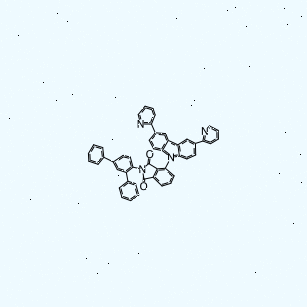 O=C1c2cccc(-n3c4ccc(-c5ccccn5)cc4c4cc(-c5ccccn5)ccc43)c2C(=O)N1c1ccc(-c2ccccc2)cc1-c1ccccc1